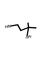 CCCC(C)(C)CC[NH]